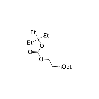 CCCCCCCCCCOC(=O)O[Si](CC)(CC)CC